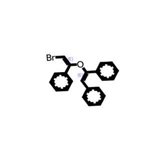 Br/C=C(/O/C(=C/c1ccccc1)c1ccccc1)c1ccccc1